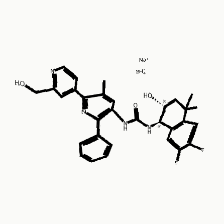 Cc1cc(NC(=O)N[C@@H]2c3cc(F)c(F)cc3C(C)(C)C[C@H]2O)c(-c2ccccc2)nc1-c1ccnc(CO)c1.[BH4-].[Na+]